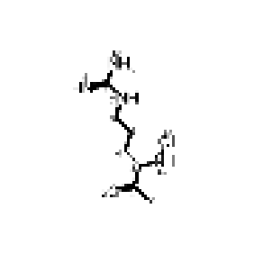 CC(=O)[C@H](CCCNC(=N)N)NO